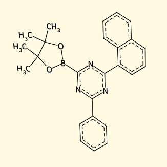 CC1(C)OB(c2nc(-c3ccccc3)nc(-c3cccc4ccccc34)n2)OC1(C)C